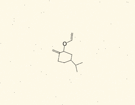 C=COC1CC(C(C)C)CCC1=C